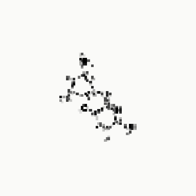 CC1=CC(Oc2c(Cl)cc(N)cc2Cl)=NNC1O